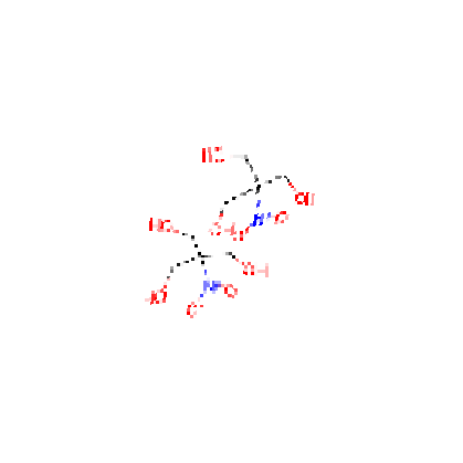 O=[N+]([O-])C(CO)(CO)CO.O=[N+]([O-])C(CO)(CO)CO